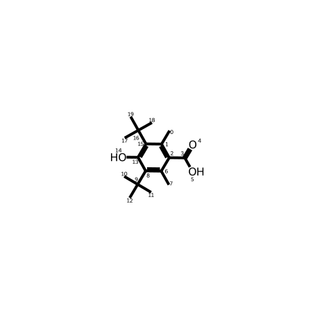 Cc1c(C(=O)O)c(C)c(C(C)(C)C)c(O)c1C(C)(C)C